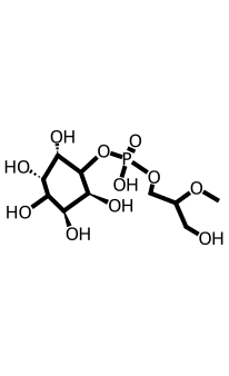 COC(CO)COP(=O)(O)OC1[C@@H](O)[C@@H](O)C(O)[C@H](O)[C@@H]1O